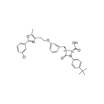 Cc1oc(-c2cccc(Cl)c2)nc1CCOc1cccc(C[C@@H]2C(=O)N(c3ccc(C(C)(C)C)cc3)[C@@H]2C(=O)O)c1